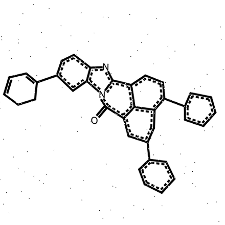 O=c1c2cc(-c3ccccc3)cc3c(-c4ccccc4)ccc(c32)c2nc3ccc(C4=CC=CCC4)cc3n12